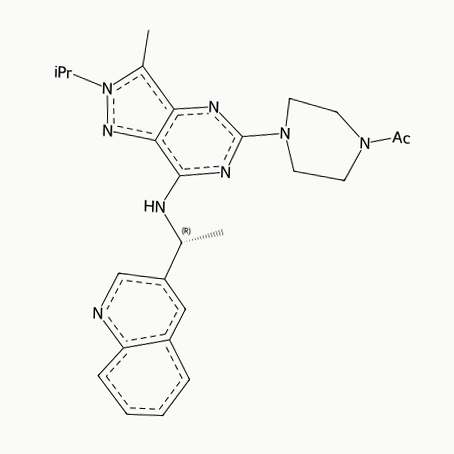 CC(=O)N1CCN(c2nc(N[C@H](C)c3cnc4ccccc4c3)c3nn(C(C)C)c(C)c3n2)CC1